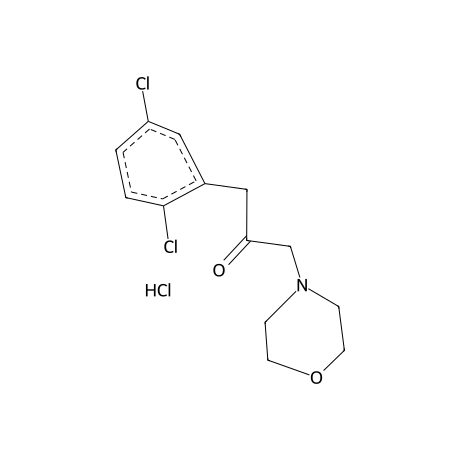 Cl.O=C(Cc1cc(Cl)ccc1Cl)CN1CCOCC1